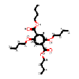 CCCCOC(=O)c1cc(OCCCC)c(C(=O)OCCCC)cc1OCCCC